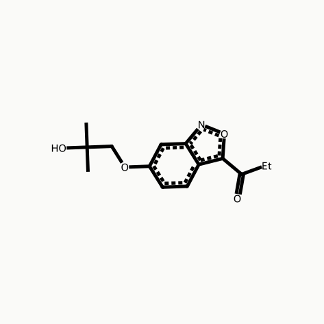 CCC(=O)c1onc2cc(OCC(C)(C)O)ccc12